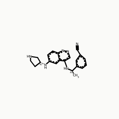 C[C@@H](Nc1cnnc2ccc(N[C@@H]3CCNC3)cc12)c1cccc(C#N)c1